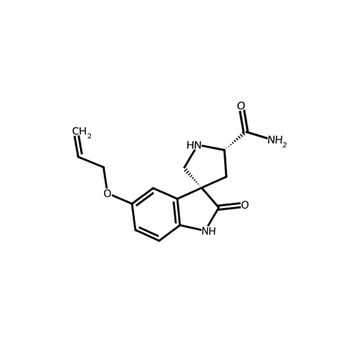 C=CCOc1ccc2c(c1)[C@]1(CN[C@H](C(N)=O)C1)C(=O)N2